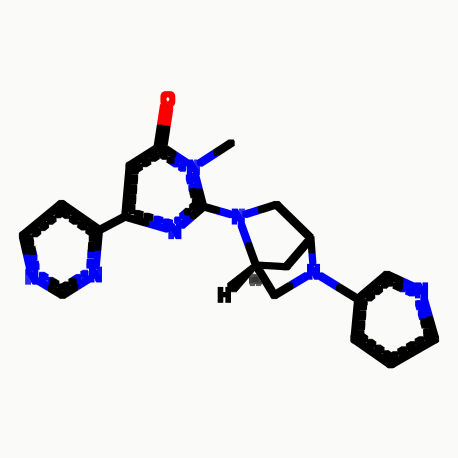 Cn1c(N2CC3C[C@@H]2CN3c2cccnc2)nc(-c2ccncn2)cc1=O